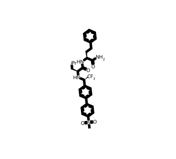 CC(C)C[C@H](N[C@@H](c1ccc(-c2ccc(S(C)(=O)=O)cc2)cc1)C(F)(F)F)C(=O)N[C@@H](CCc1ccccc1)C(N)=O